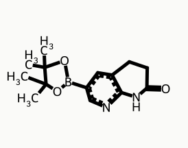 CC1(C)OB(c2cnc3c(c2)CCC(=O)N3)OC1(C)C